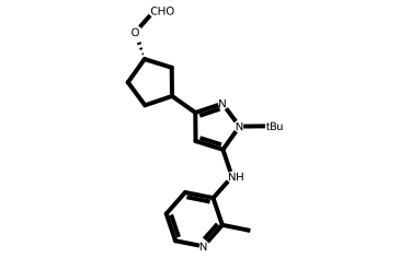 Cc1ncccc1Nc1cc(C2CC[C@H](OC=O)C2)nn1C(C)(C)C